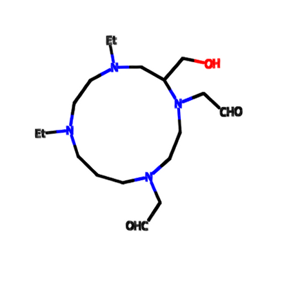 CCN1CCCN(CC=O)CCN(CC=O)C(CO)CN(CC)CC1